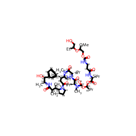 CCC(CO)OC(COC(=O)NCCC(=O)N[C@H](C(=O)OC(OC(=O)N(C)[C@H](C(=O)N[C@H](C(=O)N(C)C(C(C)C)[C@H](C)CC(=O)N1CCC[C@H]1[C@H](C)[C@@H](C)C(=O)N[C@H](C)[C@@H](O)c1ccccc1)C(C)C)C(C)C)C(C)C)C(C)C)OC